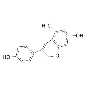 Cc1cc(O)cc2c1C=C(c1ccc(O)cc1)CO2